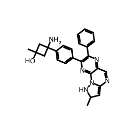 CC1C=C2N=Cc3nc(-c4ccccc4)c(-c4ccc(C5(N)CC(C)(O)C5)cc4)nc3N2N1